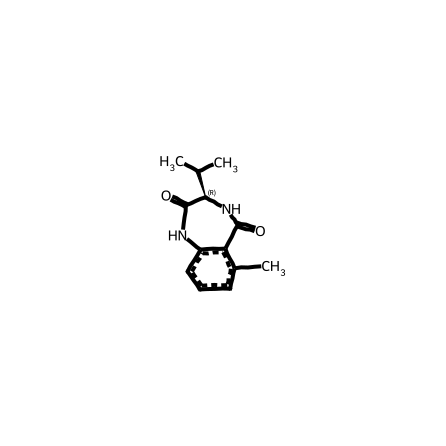 Cc1cccc2c1C(=O)N[C@H](C(C)C)C(=O)N2